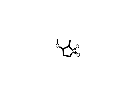 COC1CCS(=O)(=O)C1C